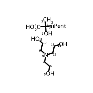 CCCCCC(C)(O)C(=O)O.OCCN(CCO)CCO